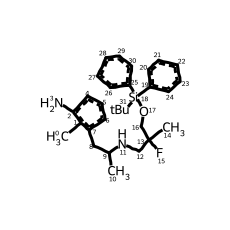 Cc1c(N)cccc1CC(C)NCC(C)(F)CO[Si](c1ccccc1)(c1ccccc1)C(C)(C)C